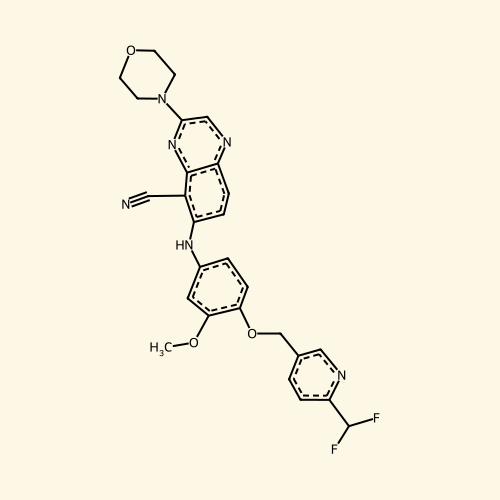 COc1cc(Nc2ccc3ncc(N4CCOCC4)nc3c2C#N)ccc1OCc1ccc(C(F)F)nc1